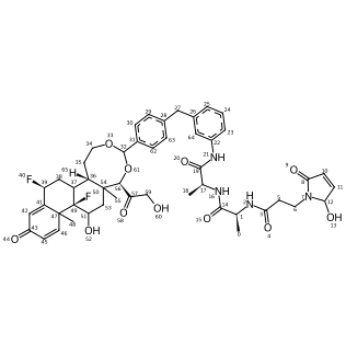 C[C@H](NC(=O)CCN1C(=O)C=CC1O)C(=O)N[C@@H](C)C(=O)Nc1cccc(Cc2ccc(C3OCC[C@H]4C5C[C@H](F)C6=CC(=O)C=CC6(C)[C@@]5(F)C(O)CC4(C)[C@H](C(=O)CO)O3)cc2)c1